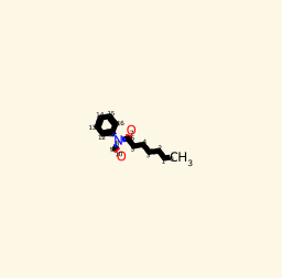 CCCCCCC(=O)N(C=O)c1ccccc1